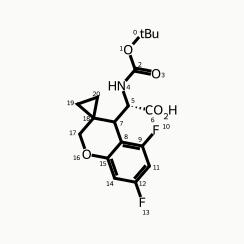 CC(C)(C)OC(=O)N[C@H](C(=O)O)C1c2c(F)cc(F)cc2OCC12CC2